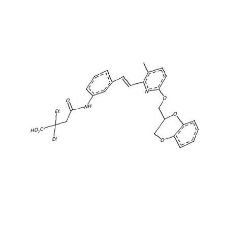 CCC(CC)(CC(=O)Nc1cccc(C=Cc2nc(OCC3COc4ccccc4O3)ccc2C)c1)C(=O)O